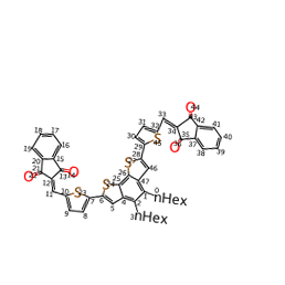 CCCCCCc1c(CCCCCC)c2cc(-c3ccc(C=C4C(=O)c5ccccc5C4=O)s3)sc2c2sc(-c3ccc(C=C4C(=O)c5ccccc5C4=O)s3)cc12